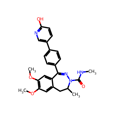 CNC(=O)N1N=C(c2ccc(-c3ccc(O)nc3)cc2)c2cc(OC)c(OC)cc2CC1C